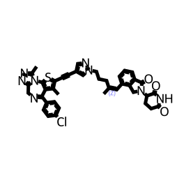 C/C(=C/c1cccc2c1CN(C1CCC(=O)NC1=O)C2=O)CCCn1cc(C#Cc2sc3c(c2C)C(c2ccc(Cl)cc2)=NCc2nnc(C)n2-3)cn1